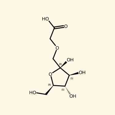 O=C(O)COC[C@@]1(O)O[C@H](CO)[C@@H](O)[C@@H]1O